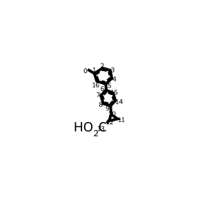 Cc1cccc(-c2ccc(C3CC3C(=O)O)cc2)c1